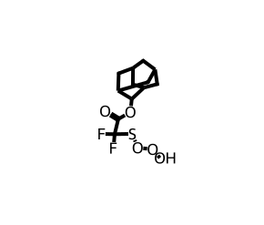 O=C(OC1C2CC3CC(C2)CC1C3)C(F)(F)SOOO